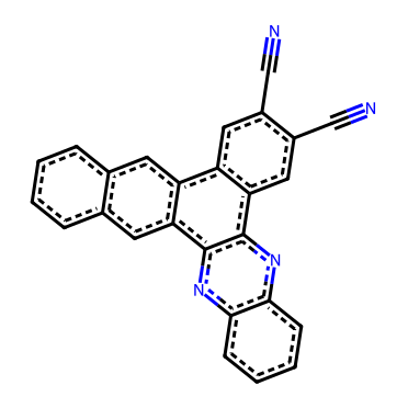 N#Cc1cc2c3cc4ccccc4cc3c3nc4ccccc4nc3c2cc1C#N